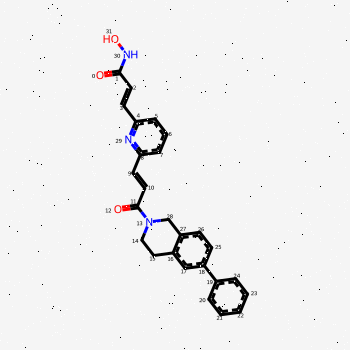 O=C(/C=C/c1cccc(/C=C/C(=O)N2CCc3cc(-c4ccccc4)ccc3C2)n1)NO